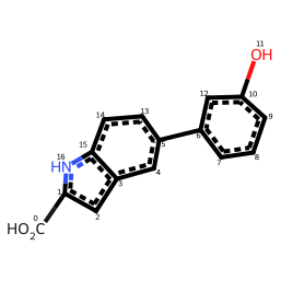 O=C(O)c1cc2cc(-c3cccc(O)c3)ccc2[nH]1